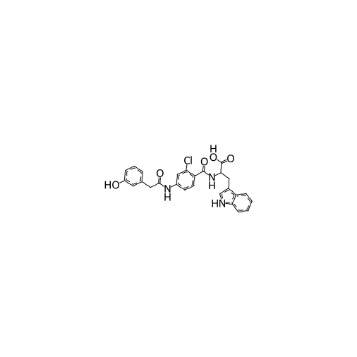 O=C(Cc1cccc(O)c1)Nc1ccc(C(=O)NC(Cc2c[nH]c3ccccc23)C(=O)O)c(Cl)c1